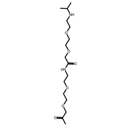 CC(=O)COCCOCCNC(=O)COCCOCCNC(C)C